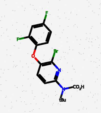 CC(C)(C)N(C(=O)O)c1ccc(Oc2ccc(F)cc2F)c(Br)n1